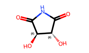 O=C1NC(=O)[C@H](O)[C@H]1O